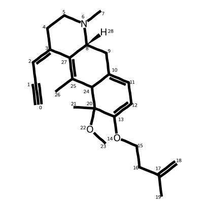 C#C/C=C1/CCN(C)[C@@H]2CC3=CC=C(OCCC(=C)C)C(C)(OC)C3C(C)=C12